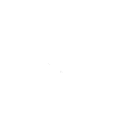 CCCCN=CNP(=S)(OCCC)SCCCC